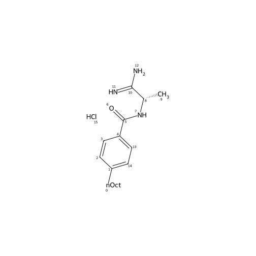 CCCCCCCCc1ccc(C(=O)N[C@@H](C)C(=N)N)cc1.Cl